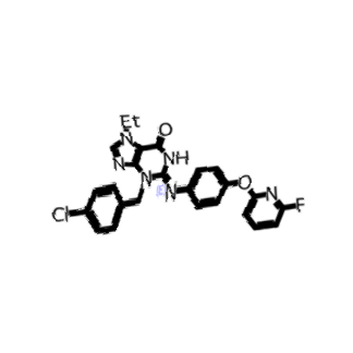 CCn1cnc2c1c(=O)[nH]/c(=N\c1ccc(Oc3cccc(F)n3)cc1)n2Cc1ccc(Cl)cc1